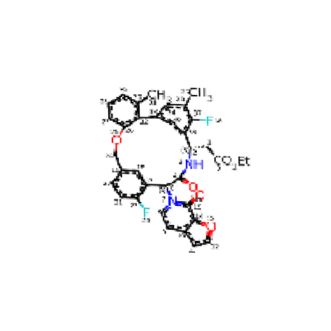 CCOC(=O)C[C@@H]1NC(=O)[C@@H](n2ccc3ccoc3c2=O)c2cc(ccc2F)COc2cccc(C)c2-c2cc(C)c(F)c1c2